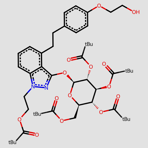 CC(C)(C)C(=O)OCCn1nc(O[C@@H]2O[C@H](COC(=O)C(C)(C)C)[C@@H](OC(=O)C(C)(C)C)[C@H](OC(=O)C(C)(C)C)[C@H]2OC(=O)C(C)(C)C)c2c(CCc3ccc(OCCO)cc3)cccc21